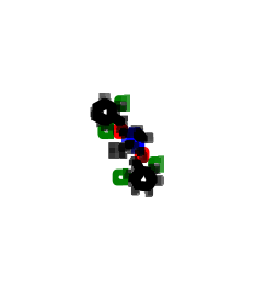 CCc1n(OCc2c(Cl)cccc2Cl)cc[n+]1OCc1c(Cl)cccc1Cl